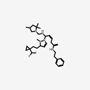 C=C(C/C=C\C(NCN1CC(C)CC1(C)C)N1C=CC(CCC2(C(F)F)CC2)N1C)NCCc1ccccc1